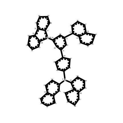 c1ccc2cc(N(c3ccc(-c4cc(-c5cccc6ccccc56)cc(-n5c6ccccc6c6ccccc65)c4)cc3)c3cccc4ccccc34)ccc2c1